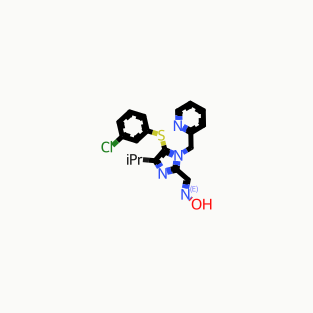 CC(C)c1nc(/C=N/O)n(Cc2ccccn2)c1Sc1cccc(Cl)c1